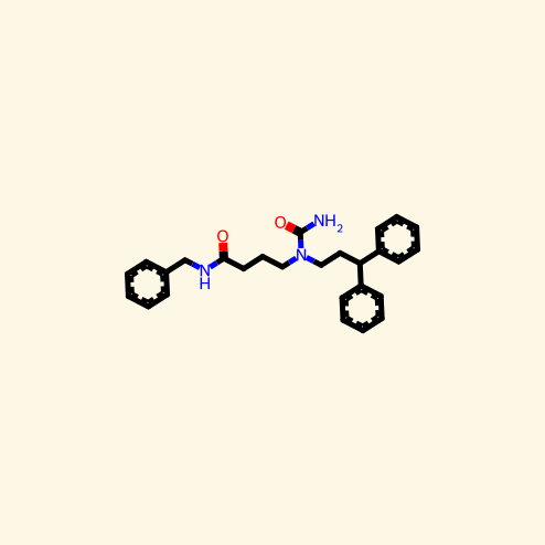 NC(=O)N(CCCC(=O)NCc1ccccc1)CCC(c1ccccc1)c1ccccc1